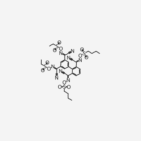 CCCCS(=O)(=O)O/N=C(\C#N)c1cccc(/C(C#N)=N/OS(=O)(=O)CCCC)c1-c1cc(/C(C#N)=N/OS(=O)(=O)CC)cc(/C(C#N)=N/OS(=O)(=O)CC)c1